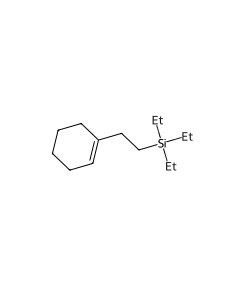 CC[Si](CC)(CC)CCC1=CCCCC1